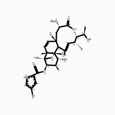 CO[C@H]1C[C@H]2C=C[C@]3(C)[C@H]4[C@H](O)[C@@H](C)[C@@H](OC(=O)c5cc(Br)c[nH]5)[C@@H]3O[C@@]24/C(C)=C/[C@@H](C)[C@@H]([C@@H](C)O)OC1=O